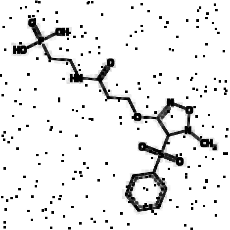 CN1ON=C(OCCC(=O)NCCP(=O)(O)O)C1S(=O)(=O)c1ccccc1